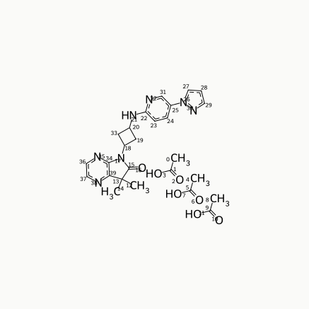 CC(=O)O.CC(=O)O.CC(=O)O.CC1(C)C(=O)N(C2CC(Nc3ccc(-n4cccn4)cn3)C2)c2nccnc21